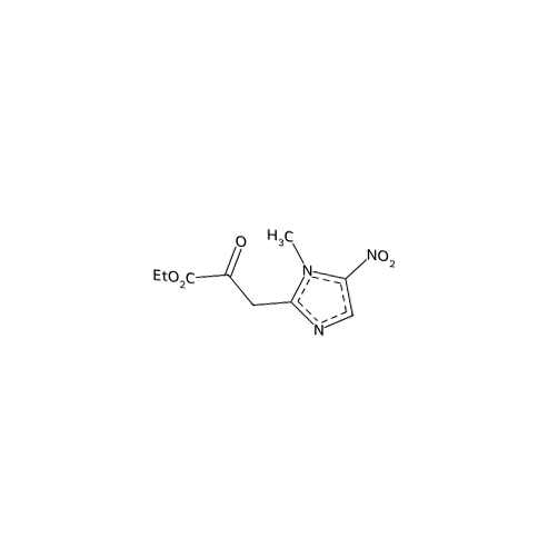 CCOC(=O)C(=O)Cc1ncc([N+](=O)[O-])n1C